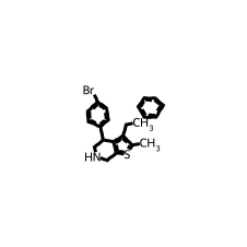 CCc1c(C)sc2c1C(c1ccc(Br)cc1)CNC2.c1ccccc1